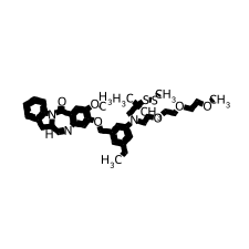 CCc1cc(COc2cc3c(cc2OC)C(=O)N2c4ccccc4C[C@H]2C=N3)cc(N(CCOCCOCCOC)CC(C)(C)SSC)c1